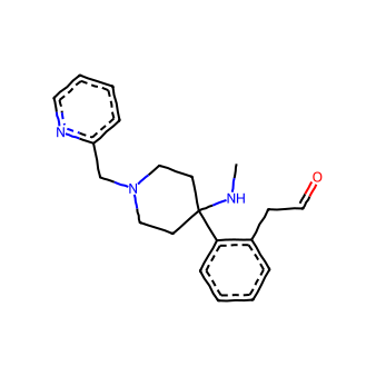 CNC1(c2ccccc2CC=O)CCN(Cc2ccccn2)CC1